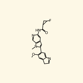 COc1cc2c(cc1-c1cc3cc(NC(=O)C4CC4F)ncc3n1C)N=CC2